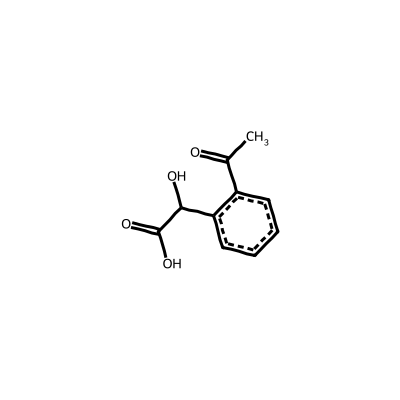 CC(=O)c1ccccc1C(O)C(=O)O